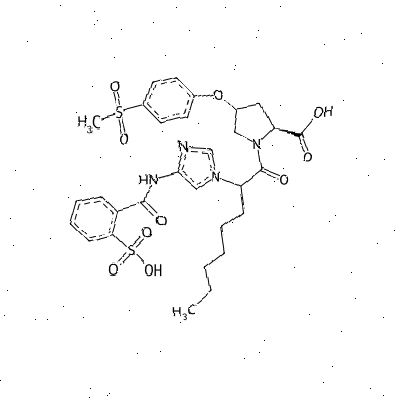 CCCCCCC(C(=O)N1CC(Oc2ccc(S(C)(=O)=O)cc2)C[C@H]1C(=O)O)n1cnc(NC(=O)c2ccccc2S(=O)(=O)O)c1